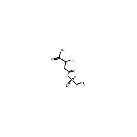 CCS(=O)(=O)OC(=O)C[C@H](N)C(=O)O